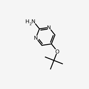 CC(C)(C)Oc1cnc(N)nc1